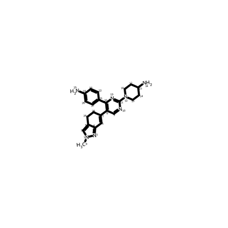 Cn1cc2c(n1)C=C(c1cnc(N3CCC(N)CC3)nc1-c1ccc(N)cc1)CC2